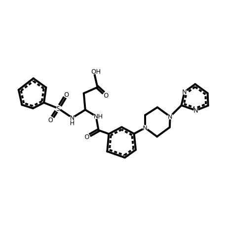 O=C(O)CC(NC(=O)c1cccc(N2CCN(c3ncccn3)CC2)c1)NS(=O)(=O)c1ccccc1